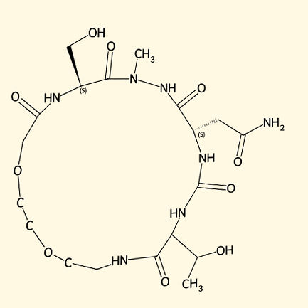 CC(O)C1NC(=O)N[C@@H](CC(N)=O)C(=O)NN(C)C(=O)[C@H](CO)NC(=O)COCCOCCNC1=O